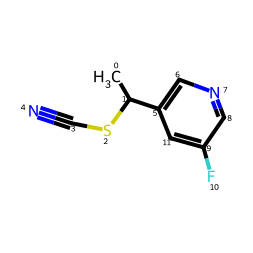 CC(SC#N)c1cncc(F)c1